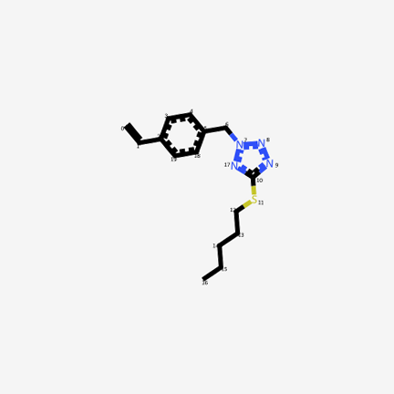 C=Cc1ccc(Cn2nnc(SCCCCC)n2)cc1